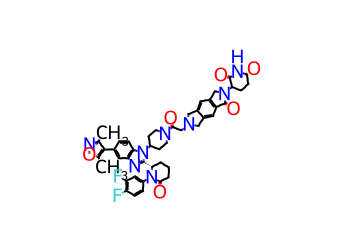 Cc1noc(C)c1-c1ccc2c(c1)nc([C@@H]1CCCC(=O)N1c1ccc(F)c(F)c1)n2C1CCN(C(=O)CN2Cc3cc4c(cc3C2)C(=O)N(C2CCC(=O)NC2=O)C4)CC1